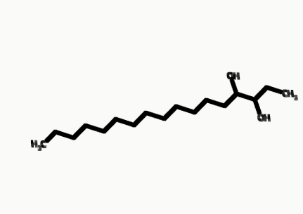 CCCCCCCCCCCCCC(O)C(O)CC